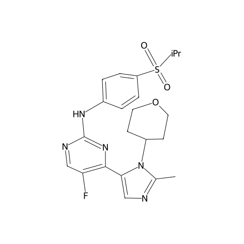 Cc1ncc(-c2nc(Nc3ccc(S(=O)(=O)C(C)C)cc3)ncc2F)n1C1CCOCC1